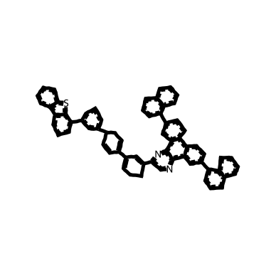 C1=CC(c2cccc(-c3cccc4c3sc3ccccc34)c2)CC=C1C1=CCCC(c2cnc3c4cc(-c5cccc6ccccc56)ccc4c4ccc(-c5cccc6ccccc56)cc4c3n2)=C1